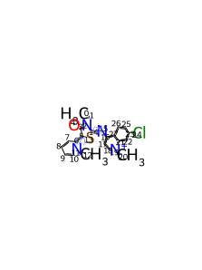 CCN1C(=O)/C(=C2\C=CC=CN2C)S/C1=N\c1cc[n+](C)c2cc(Cl)ccc12